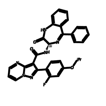 CC(C)Oc1ccc(-c2nn3cccnc3c2C(=O)N[C@H]2N=C(c3ccccc3)c3ccccc3NC2=O)c(F)c1